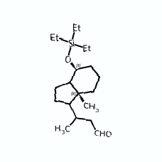 CC[Si](CC)(CC)O[C@H]1CCC[C@]2(C)C(C(C)CC=O)CCC12